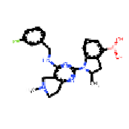 CC1Cc2c(B(O)O)cccc2N1c1nc2c(c(NCc3cccc(F)c3)n1)CN(C)CC2